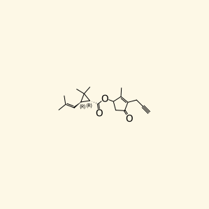 C#CCC1=C(C)C(OC(=O)[C@@H]2[C@@H](C=C(C)C)C2(C)C)CC1=O